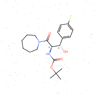 CC(C)(C)OC(=O)N[C@@H](C(=O)N1CCCCCC1)[C@@H](O)c1ccc(F)cc1